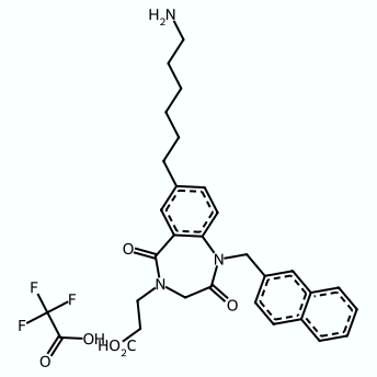 NCCCCCCc1ccc2c(c1)C(=O)N(CCC(=O)O)CC(=O)N2Cc1ccc2ccccc2c1.O=C(O)C(F)(F)F